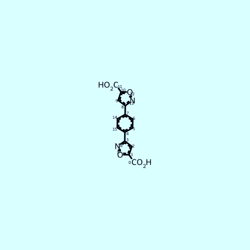 O=C(O)c1cc(-c2ccc(-c3cc(C(=O)O)on3)cc2)no1